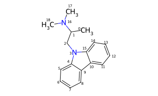 CC(Cn1c2ccccc2c2ccccc21)N(C)C